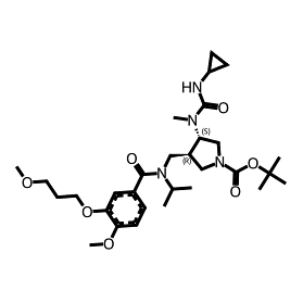 COCCCOc1cc(C(=O)N(C[C@@H]2CN(C(=O)OC(C)(C)C)C[C@H]2N(C)C(=O)NC2CC2)C(C)C)ccc1OC